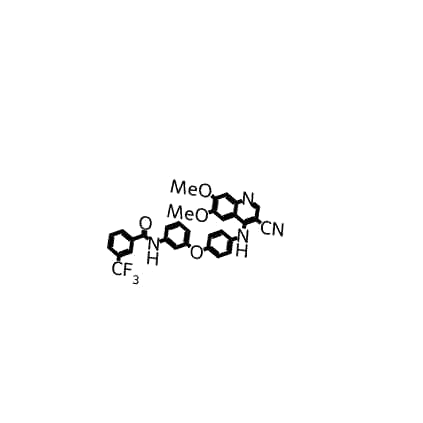 COc1cc2ncc(C#N)c(Nc3ccc(Oc4cccc(NC(=O)c5cccc(C(F)(F)F)c5)c4)cc3)c2cc1OC